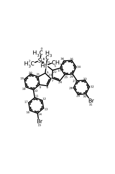 C[Si](C)=[Hf]([CH3])([CH3])([CH]1C=Cc2c(-c3ccc(Br)cc3)cccc21)[CH]1C=Cc2c(-c3ccc(Br)cc3)cccc21